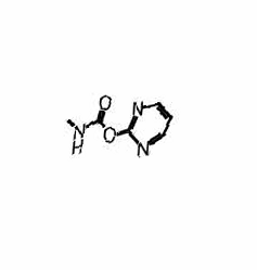 CNC(=O)Oc1ncccn1